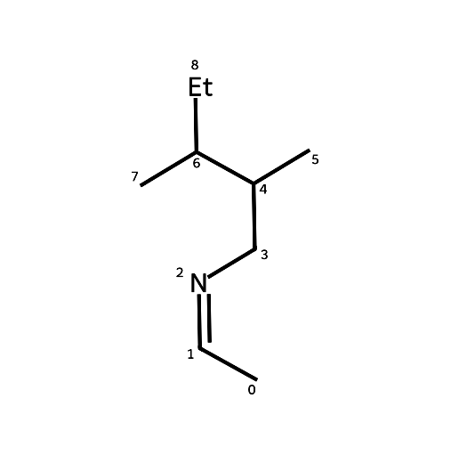 C/C=N\CC(C)C(C)CC